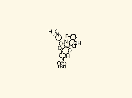 CN1CCC(Oc2nc(-c3c(O)cccc3F)c(Cl)c3c2C(=O)N2CCN(C(=O)OC(C)(C)C)C[C@@H]2CO3)CC1